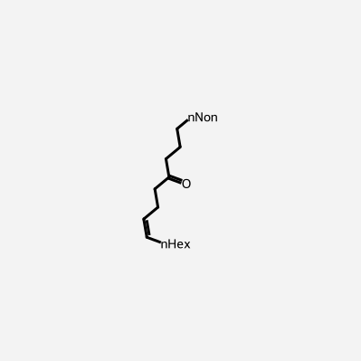 CCCCCC/C=C\CCC(=O)CCCCCCCCCCCC